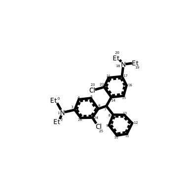 CCN(CC)c1ccc(C(c2ccccc2)c2ccc(N(CC)CC)cc2Cl)c(Cl)c1